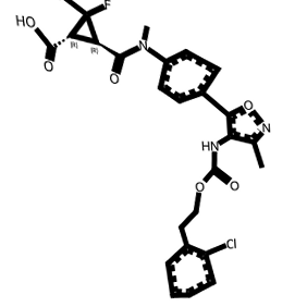 Cc1noc(-c2ccc(N(C)C(=O)[C@H]3[C@H](C(=O)O)C3(F)F)cc2)c1NC(=O)OCCc1ccccc1Cl